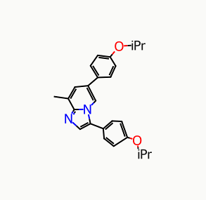 Cc1cc(-c2ccc(OC(C)C)cc2)cn2c(-c3ccc(OC(C)C)cc3)cnc12